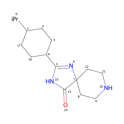 CC(C)C1CCC(C2=NC3(CCNCC3)C(=O)N2)CC1